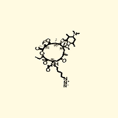 CC[C@H]1OC(=O)[C@@](C)(F)C(=O)[C@H](C)[C@@H](O[C@@H]2OC(C)CC(N(C)C)C2C)[C@](C)(OC)C[C@@H](C)C(=O)C[C@H]2N(CCCCN=[N+]=[N-])C(=O)O[C@]12C